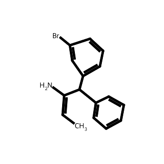 C/C=C(/N)C(c1ccccc1)c1cccc(Br)c1